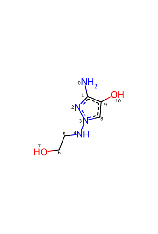 Nc1nn(NCCO)cc1O